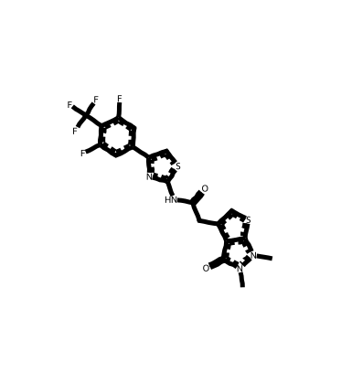 Cn1c(=O)c2c(CC(=O)Nc3nc(-c4cc(F)c(C(F)(F)F)c(F)c4)cs3)csc2n1C